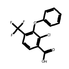 O=C(O)c1ccc(C(F)(F)F)c(Oc2ccccc2)c1Cl